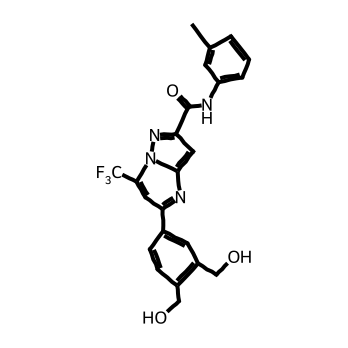 Cc1cccc(NC(=O)c2cc3nc(-c4ccc(CO)c(CO)c4)cc(C(F)(F)F)n3n2)c1